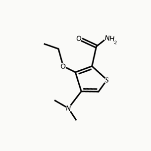 CCOc1c(N(C)C)csc1C(N)=O